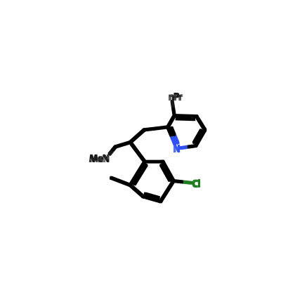 CCCc1cccnc1CC(CNC)c1cc(Cl)ccc1C